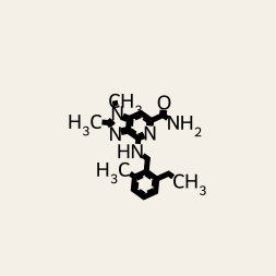 CCc1cccc(C)c1CNc1nc(C(N)=O)cc2c1nc(C)n2C